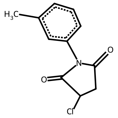 Cc1cccc(N2C(=O)CC(Cl)C2=O)c1